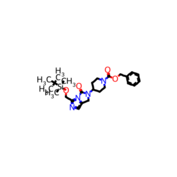 CC(C)(C)[Si](C)(C)OCc1ncc2n1C(=O)N(C1CCN(C(=O)OCc3ccccc3)CC1)C2